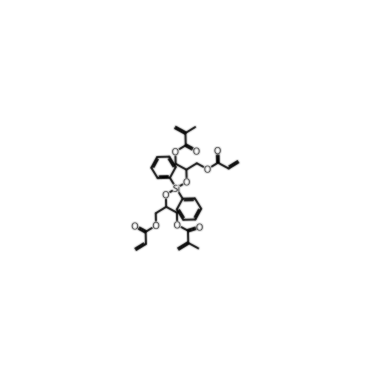 C=CC(=O)OCC(COC(=O)C(=C)C)O[Si](OC(COC(=O)C=C)COC(=O)C(=C)C)(c1ccccc1)c1ccccc1